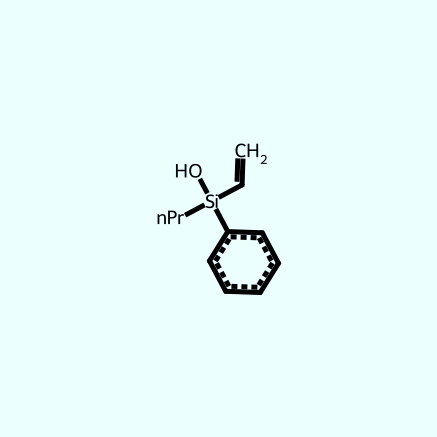 C=C[Si](O)(CCC)c1ccccc1